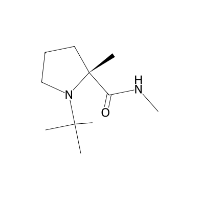 CNC(=O)[C@@]1(C)CCCN1C(C)(C)C